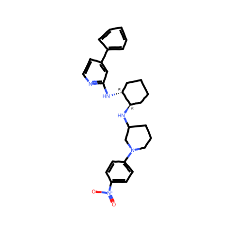 O=[N+]([O-])c1ccc(N2CCCC(N[C@@H]3CCCC[C@H]3Nc3cc(-c4ccccc4)ccn3)C2)cc1